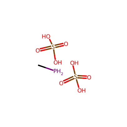 CP.O=S(=O)(O)O.O=S(=O)(O)O